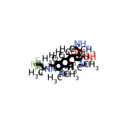 C=C1C2=C(C)[C@](O)(C(=C)C(C)C(=C)N)[C@H]([C@@H](CO)N(C)C)C[C@@H]2Cc2c(N(C)C)cc(CNC(C)CC(F)(F)F)c(C)c21